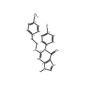 Cn1cnc2c(=O)n(-c3ccc(F)cc3)c(SCCc3ccc(C(F)(F)F)cc3)nc21